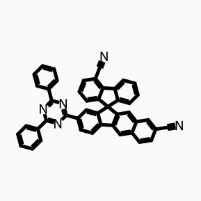 N#Cc1ccc2cc3c(cc2c1)C1(c2cc(-c4nc(-c5ccccc5)nc(-c5ccccc5)n4)ccc2-3)c2ccccc2-c2c(C#N)cccc21